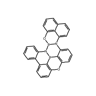 c1ccc2c(c1)-c1cccc3c1B1c4c(cccc4N4B(Oc5cccc6cccc4c56)N12)O3